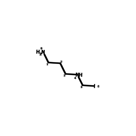 NCCCNCI